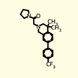 CC1(C)CN(CC(=O)N2CCCC2)Cc2cc(-c3ccc(C(F)(F)F)cc3)ccc21